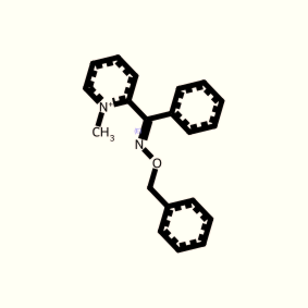 C[n+]1ccccc1/C(=N/OCc1ccccc1)c1ccccc1